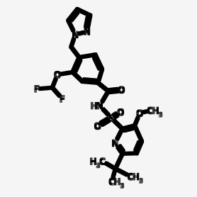 COc1ccc(C(C)(C)C)nc1S(=O)(=O)NC(=O)c1ccc(Cn2cccn2)c(OC(F)F)c1